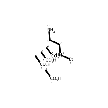 CC(=O)O.CC(=O)O.CC(=O)O.CC(=O)O.CCNCCN